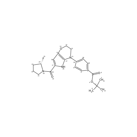 CC(C)(C)OC(=O)c1ccc(N2CCOc3cc(C(=O)N4CCC[C@@H]4F)[nH]c32)cc1